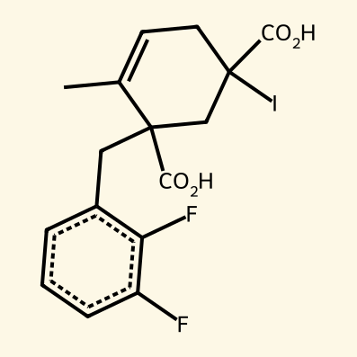 CC1=CCC(I)(C(=O)O)CC1(Cc1cccc(F)c1F)C(=O)O